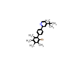 Cc1c(C)c(C)c(-c2ccc(-c3cc(C(C)(C)C)ccn3)cc2)c(Br)c1C